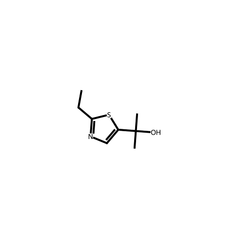 CCc1ncc(C(C)(C)O)s1